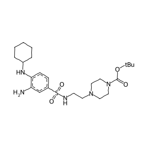 CC(C)(C)OC(=O)N1CCN(CCNS(=O)(=O)c2ccc(NC3CCCCC3)c(N)c2)CC1